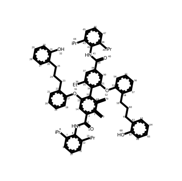 C=c1c(C(=O)Nc2c(C(C)C)cccc2C(C)C)cc(Oc2ccccc2CCCc2ccccc2O)c(-c2c(CC)cc(C(=O)Nc3c(C(C)C)cccc3C(C)C)cc2Oc2ccccc2CCCc2ccccc2O)c1=C